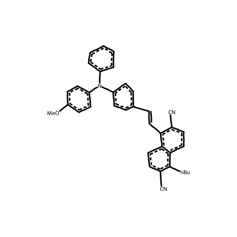 CCCCc1c(C#N)ccc2c(C=Cc3ccc(N(c4ccccc4)c4ccc(OC)cc4)cc3)c(C#N)ccc12